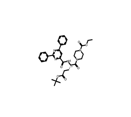 CCOC(=O)N1CCN(C(=O)[C@H](CCC(=O)OC(C)(C)C)NC(=O)c2cc(-c3ccccc3)nc(-c3ccccc3)n2)CC1